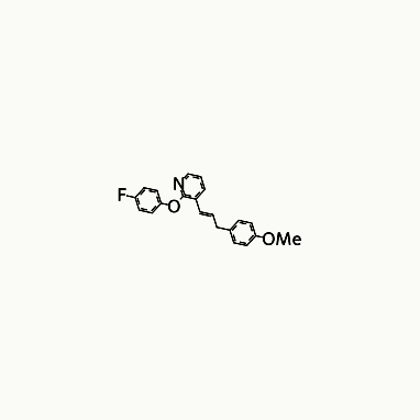 COc1ccc(CC=Cc2cccnc2Oc2ccc(F)cc2)cc1